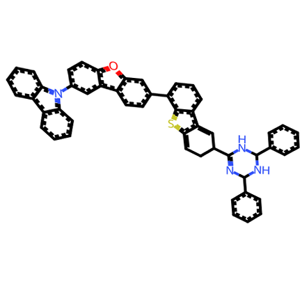 C1=c2sc3c(-c4ccc5c(c4)oc4ccc(-n6c7ccccc7c7ccccc76)cc45)cccc3c2=CC(C2=NC(c3ccccc3)NC(c3ccccc3)N2)C1